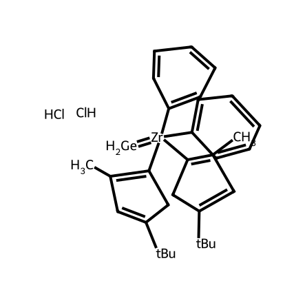 CC1=[C]([Zr](=[GeH2])([C]2=C(C)C=C(C(C)(C)C)C2)([c]2ccccc2)[c]2ccccc2)CC(C(C)(C)C)=C1.Cl.Cl